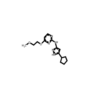 COCCOc1ccnc(Nc2cc(C3CCCC3)[nH]n2)n1